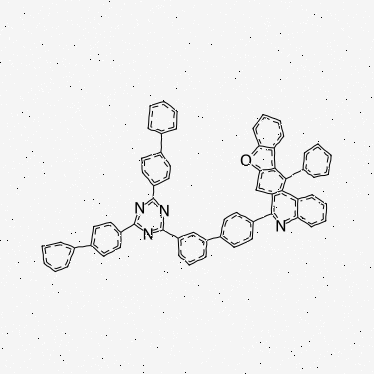 c1ccc(-c2ccc(-c3nc(-c4ccc(-c5ccccc5)cc4)nc(-c4cccc(-c5ccc(-c6nc7ccccc7c7c(-c8ccccc8)c8c(cc67)oc6ccccc68)cc5)c4)n3)cc2)cc1